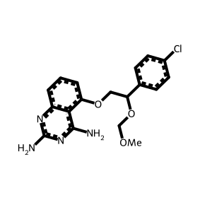 COCOC(COc1cccc2nc(N)nc(N)c12)c1ccc(Cl)cc1